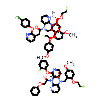 COc1ccc(OCCF)c(CN(C(C)=O)c2cccnc2N(C(=O)COc2ccccc2)c2cccnc2Oc2ccccc2F)c1.COc1ccc(Oc2ccc(OC)cc2CN(C(=O)COCCF)c2ncccc2N(Cc2cc(OC)ccc2OCCF)C(=O)Cc2cccnc2Oc2ccc(Cl)cc2)cc1